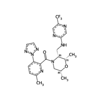 Cc1ccc(-n2nccn2)c(C(=O)N2C[C@@H](C)O[C@@H](C)[C@H]2CNc2cnc(C(F)(F)F)cn2)n1